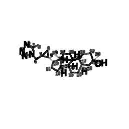 Cc1nnnn1C[C@H]1CC1[C@H]1CC[C@H]2[C@@H]3CC[C@@H]4C[C@](C)(O)CC[C@@H]4[C@H]3CC[C@]12C